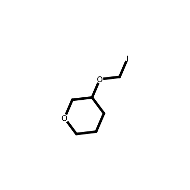 ICOC1CCCOC1